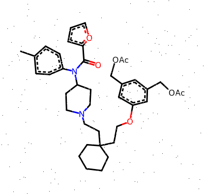 CC(=O)OCc1cc(COC(C)=O)cc(OCCC2(CCN3CCC(N(C(=O)c4ccco4)c4ccc(C)cc4)CC3)CCCCC2)c1